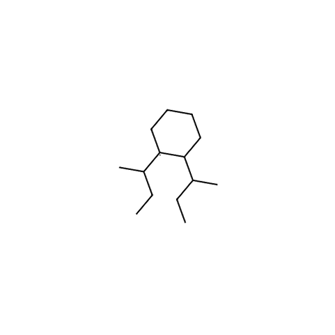 CCC(C)[C]1CCCCC1C(C)CC